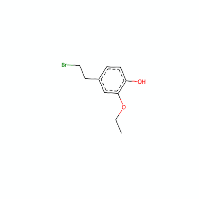 CCOc1cc(CCBr)ccc1O